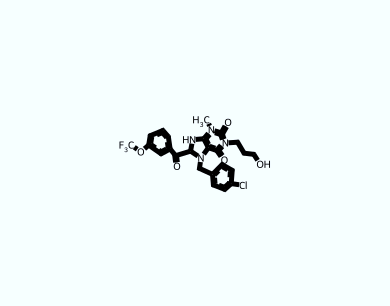 Cn1c2c(c(=O)n(CCCO)c1=O)N(Cc1ccc(Cl)cc1)C(C(=O)c1cccc(OC(F)(F)F)c1)N2